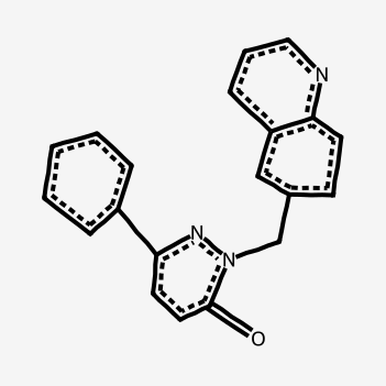 O=c1ccc(-c2ccccc2)nn1Cc1ccc2ncccc2c1